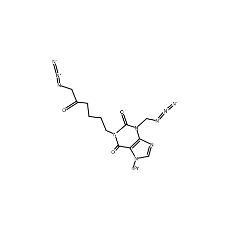 CCCn1cnc2c1c(=O)n(CCCCC(=O)CN=[N+]=[N-])c(=O)n2CN=[N+]=[N-]